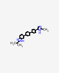 Cc1ncc(-c2ccc(-c3ccc(-c4ccc5nc(C(C)C)[nH]c5c4)cc3)cc2)[nH]1